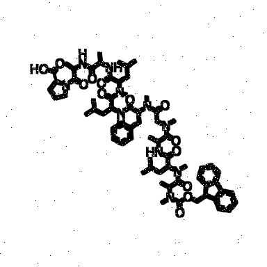 CC(C)CC(NC(=O)C(Cc1ccccc1)N(C)C(=O)CN(C)C(=O)C(C)NC(=O)C(CC(C)C)N(C)C(=O)C(C)N(C)C(=O)OCC1c2ccccc2-c2ccccc21)C(=O)N(C)C(CC(C)C)C(=O)NC(C)C(=O)NC(C)C(=O)N1CCC[C@H]1C(=O)O